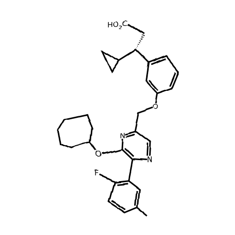 Cc1ccc(F)c(-c2ncc(COc3cccc([C@@H](CC(=O)O)C4CC4)c3)nc2OC2CCCCCC2)c1